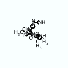 CC1=CC(C)=C(CNC(=O)c2cc(C3=CCN(C(=O)C4CNC4)CC3)nc3c2cnn3C(C)C)C(O)N1